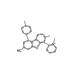 Cc1ccc(-c2cc(C#N)cc3oc4c(-c5cccc[n+]5C)c(C)ccc4c23)cc1